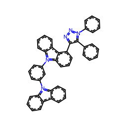 c1ccc(-c2c(-c3cccc4c3c3ccccc3n4-c3cccc(-n4c5ccccc5c5ccccc54)c3)nnn2-c2ccccc2)cc1